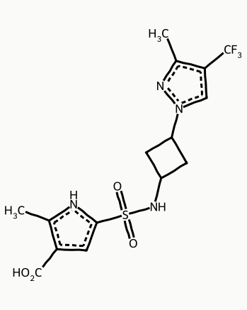 Cc1nn(C2CC(NS(=O)(=O)c3cc(C(=O)O)c(C)[nH]3)C2)cc1C(F)(F)F